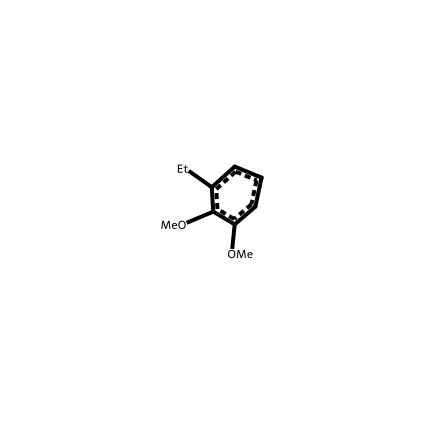 [CH2]Cc1cccc(OC)c1OC